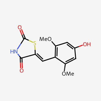 COc1cc(O)cc(OC)c1/C=C1\SC(=O)NC1=O